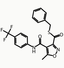 Cc1onc(C(=O)SCc2ccccc2)c1C(=O)Nc1ccc(C(F)(F)F)cc1